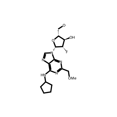 COCc1nc(NC2CCCC2)c2ncn([C@@H]3O[C@H](C[O])[C@@H](O)[C@@H]3F)c2n1